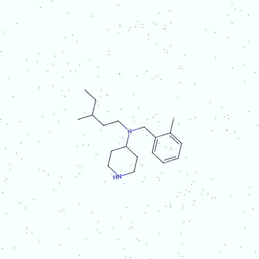 CCC(C)CCN(Cc1ccccc1C)C1CCNCC1